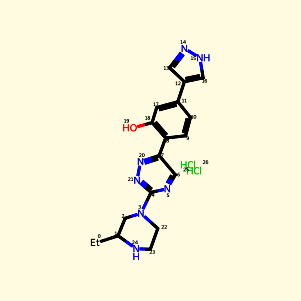 CCC1CN(c2ncc(-c3ccc(-c4cn[nH]c4)cc3O)nn2)CCN1.Cl.Cl